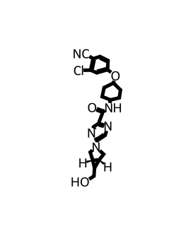 N#Cc1ccc(OC2CCC(NC(=O)c3cnc(N4C[C@@H]5C(CO)[C@@H]5C4)cn3)CC2)cc1Cl